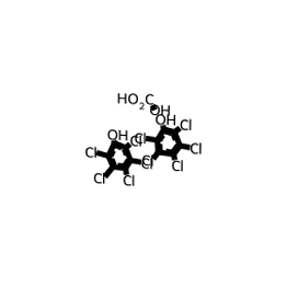 O=C(O)O.Oc1c(Cl)c(Cl)c(Cl)c(Cl)c1Cl.Oc1c(Cl)c(Cl)c(Cl)c(Cl)c1Cl